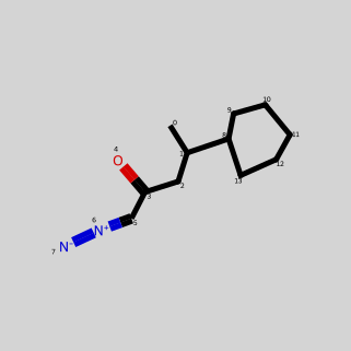 CC(CC(=O)C=[N+]=[N-])C1CCCCC1